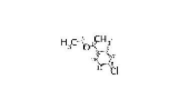 [CH2]C(OCC)c1ccc(Cl)cc1